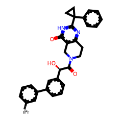 CC(C)c1cccc(-c2cccc([C@@H](O)C(=O)N3CCc4nc(C5(c6ccccc6)CC5)[nH]c(=O)c4C3)c2)c1